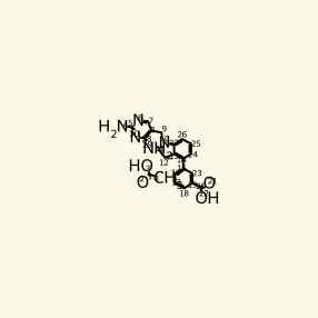 CC(=O)O.Nc1ncc(CN2CCc3c(-c4cccc(C(=O)O)c4)cccc32)c(N)n1